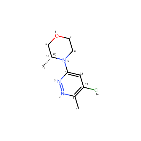 Cc1nnc(N2CCOC[C@H]2C)cc1Cl